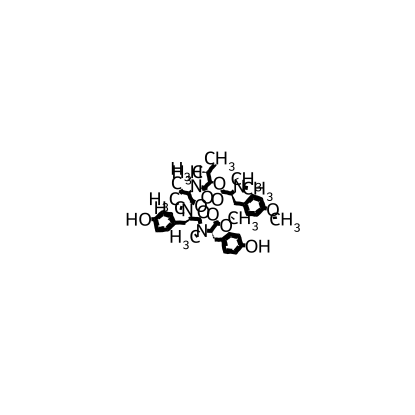 CC[C@@H](C)[C@@H](OC(=O)[C@H](Cc1ccc(OC)cc1)N(C)C)C(=O)N[C@@H](C(=O)N(C)[C@H](Cc1ccc(O)cc1)C(=O)N(C)[C@@H](Cc1ccc(O)cc1)C(=O)OC)C(C)C